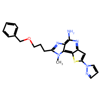 Cn1c(CCCOCc2ccccc2)nc2c(N)nc3cc(-n4cccn4)sc3c21